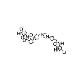 O=C1CCN(N2C(=O)c3cccc(N4CCC(CN5CCN(c6ccc(CC(=O)Nc7cc(C8CCC8)[nH]n7)cc6)CC5)CC4)c3C2=O)C(=O)N1